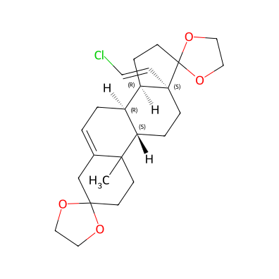 CC12CCC3(CC1=CC[C@H]1[C@H]4CCC5(OCCO5)[C@@]4(C=CCl)CC[C@@H]12)OCCO3